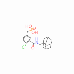 O=C(NCC12CC3CC(CC(C3)C1)C2)c1cc(CP(=O)(O)O)ccc1Cl